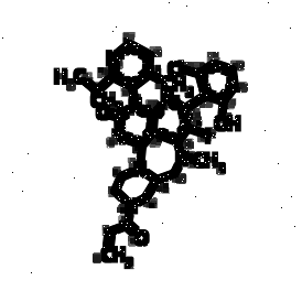 C=CC(=O)N1CCN2c3nc(=O)n(-c4c(C)ccnc4C(C)C)c4nc(-c5c(O)cccc5Cl)c(F)c(c34)N(C)CC2C1